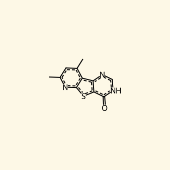 Cc1cc(C)c2c(n1)sc1c(=O)[nH]cnc12